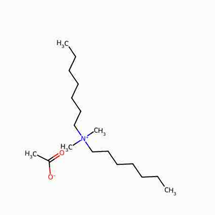 CC(=O)[O-].CCCCCCC[N+](C)(C)CCCCCCC